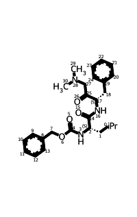 CC(C)C[C@H](NC(=O)OCc1ccccc1)C(=O)N[C@@H](Cc1ccccc1)C(=O)CN(C)C